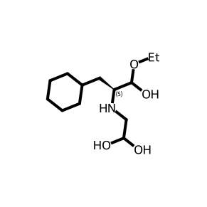 CCOC(O)[C@H](CC1CCCCC1)NCC(O)O